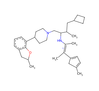 CC1=CC=C(/C(C)=C(\C)NC(CN2CCC(c3cccc4c3OC(C)C4)CC2)C(C)CC2CCC2)C1